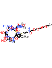 CCC(=O)N[C@H](C(=O)NCC(=O)N[C@H]1C[S+]([O-])c2[nH]c3c(CSCCCCNC(=O)CCOCCOCCOCCOCCC(C)=O)c(OC)ccc3c2C[C@@H](C(N)=O)NC(=O)[C@H]([C@@H](C)[C@@H](O)CO)NC(=O)[C@@H]2C[C@@H](O)CN2C(=O)[C@H](CC(N)=O)NC1=O)[C@@H](C)CC